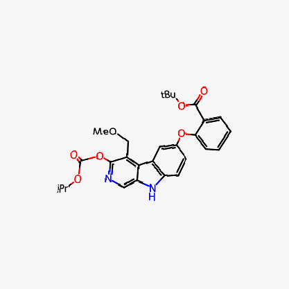 COCc1c(OC(=O)OC(C)C)ncc2[nH]c3ccc(Oc4ccccc4C(=O)OC(C)(C)C)cc3c12